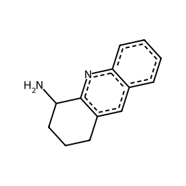 NC1CCCc2cc3ccccc3nc21